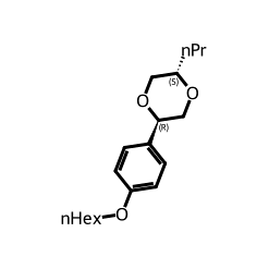 CCCCCCOc1ccc([C@@H]2CO[C@@H](CCC)CO2)cc1